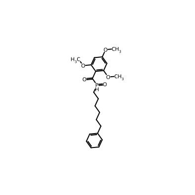 COc1cc(OC)c(C(=O)[PH](=O)CCCCCCc2ccccc2)c(OC)c1